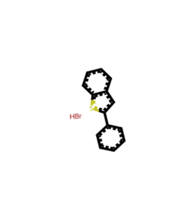 Br.c1ccc(-c2cc3ccccc3s2)cc1